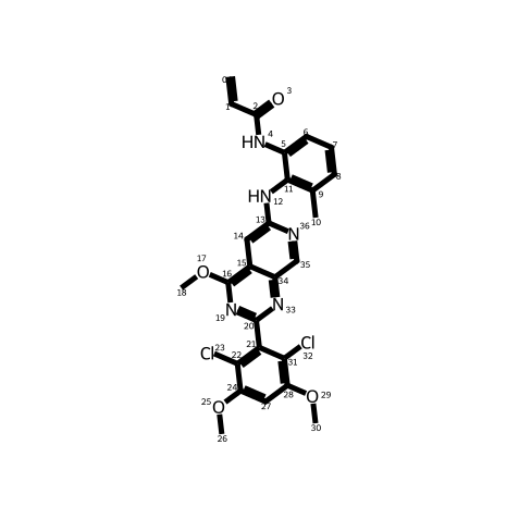 C=CC(=O)Nc1cccc(C)c1Nc1cc2c(OC)nc(-c3c(Cl)c(OC)cc(OC)c3Cl)nc2cn1